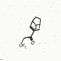 CCC(=O)C1=CC2CCC(C1)N2